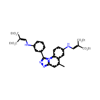 CCOC(=O)C(=CNc1cccc(-c2nnc3cc(C)c4cc(NC=C(C(=O)OCC)C(=O)OCC)ccc4n23)c1)C(=O)OCC